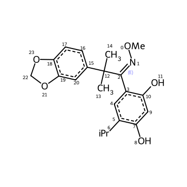 CO/N=C(/c1cc(C(C)C)c(O)cc1O)C(C)(C)c1ccc2c(c1)OCO2